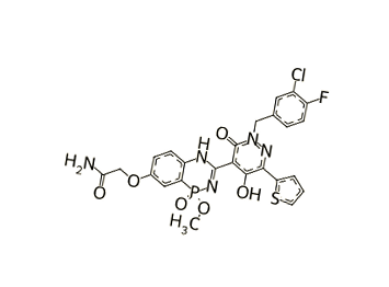 COP1(=O)N=C(c2c(O)c(-c3cccs3)nn(Cc3ccc(F)c(Cl)c3)c2=O)Nc2ccc(OCC(N)=O)cc21